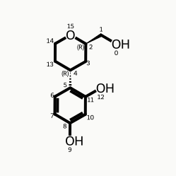 OC[C@H]1C[C@H](c2ccc(O)cc2O)CCO1